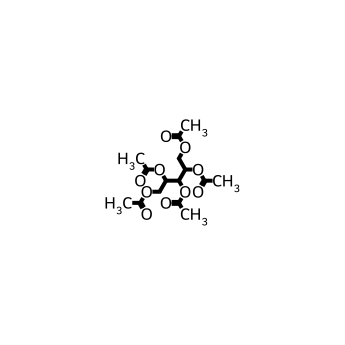 CC(=O)OCC(OC(C)=O)C(OC(C)=O)C(COC(C)=O)OC(C)=O